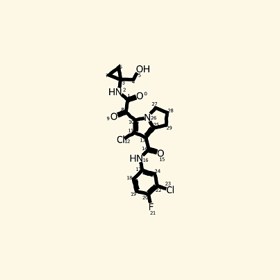 O=C(NC1(CO)CC1)C(=O)c1c(Cl)c(C(=O)Nc2ccc(F)c(Cl)c2)c2n1CCC2